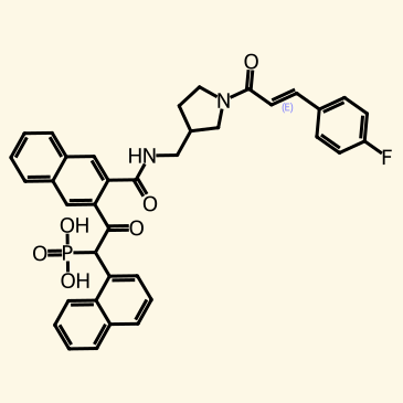 O=C(NCC1CCN(C(=O)/C=C/c2ccc(F)cc2)C1)c1cc2ccccc2cc1C(=O)C(c1cccc2ccccc12)P(=O)(O)O